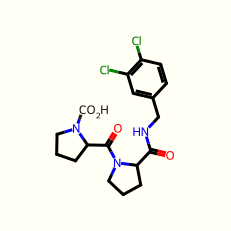 O=C(NCc1ccc(Cl)c(Cl)c1)C1CCCN1C(=O)C1CCCN1C(=O)O